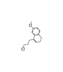 COc1ccc2c(c1)C(CCCCl)=CCC2